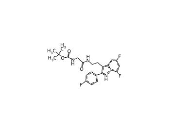 CC(C)(C)OC(=O)NCC(=O)NCCc1c(-c2ccc(F)cc2)[nH]c2c(F)cc(F)cc12